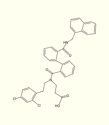 O=C(O)CCN(CCc1ccc(Cl)cc1Cl)C(=O)c1ccccc1-c1ccccc1C(=O)NCc1cccc2ccccc12